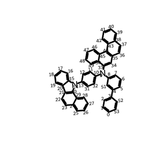 c1ccc(-c2cccc(N(c3ccc(-n4c5ccccc5c5ccc6ccccc6c54)cc3)c3cc4ccc5ccccc5c4c4ccccc34)c2)cc1